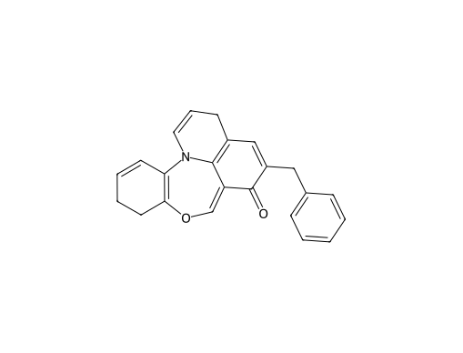 O=C1C(Cc2ccccc2)=CC2=C3C1=COC1=C(C=CCC1)N3C=CC2